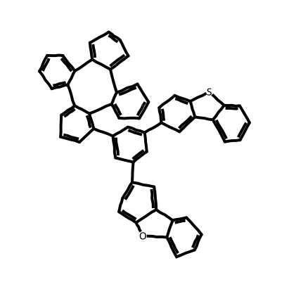 c1ccc2c(c1)-c1ccccc1-c1cccc(-c3cc(-c4ccc5oc6ccccc6c5c4)cc(-c4ccc5sc6ccccc6c5c4)c3)c1-c1ccccc1-2